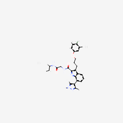 Cc1cc(OCCCc2c(C(=O)NCC(=O)NC(CC(C)C)C(=O)O)[nH]c3c(-c4c(C)nn(C)c4C)cccc23)cc(C)c1Cl